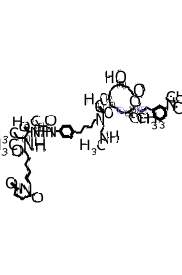 CNCCN(CCCCc1ccc(NC(=O)[C@H](C)NC(=O)[C@@H](NC(=O)CCCCCN2C(=O)C=CC2=O)C(C)C)cc1)C(=O)O[C@H]1/C=C/[C@H](C)[C@@H](/C(C)=C/c2cccc(N(C)C)c2)OC(=O)C[C@H](O)CC[C@@H]1C